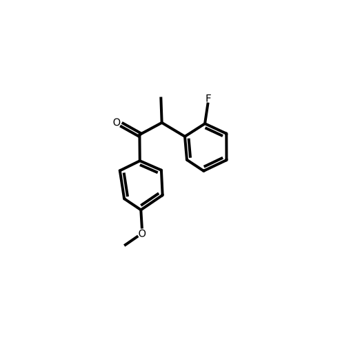 COc1ccc(C(=O)C(C)c2ccccc2F)cc1